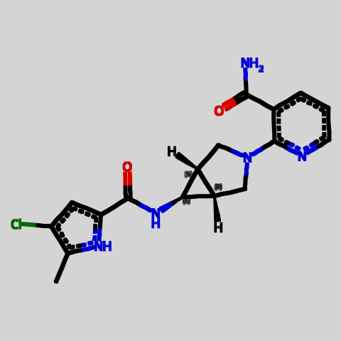 Cc1[nH]c(C(=O)N[C@H]2[C@@H]3CN(c4ncccc4C(N)=O)C[C@@H]32)cc1Cl